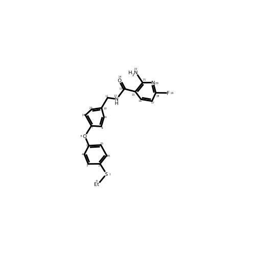 CCSc1ccc(Oc2ccc(CNC(=O)c3ccc(F)nc3N)cc2)cc1